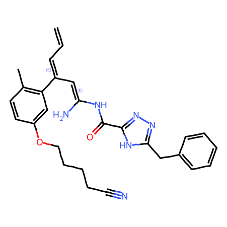 C=C/C=C(\C=C(/N)NC(=O)c1nnc(Cc2ccccc2)[nH]1)c1cc(OCCCCC#N)ccc1C